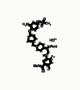 CCCCCN(CNc1cc(C(=O)NC)c(F)cc1F)C1CCN(Cc2ccc(Oc3ccc(NS(C)(=O)=O)cc3C)nc2)CC1.Cl